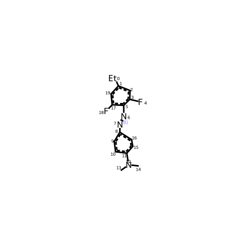 CCc1cc(F)c(/N=N/c2ccc(N(C)C)cc2)c(F)c1